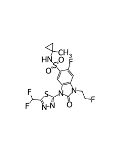 CC1(NS(=O)(=O)c2cc3c(cc2F)n(CCF)c(=O)n3-c2nnc(C(F)F)s2)CC1